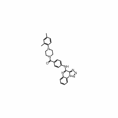 Cc1ccc(N2CCN(C(=O)c3ccc(Nc4nc5ccccc5n5nnnc45)cc3)CC2)c(C)c1